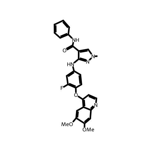 COc1cc2nccc(Oc3ccc(Nc4nn(C)cc4C(=O)Nc4ccccc4)cc3F)c2cc1OC